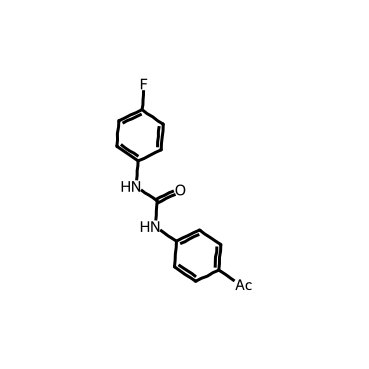 CC(=O)c1ccc(NC(=O)Nc2ccc(F)cc2)cc1